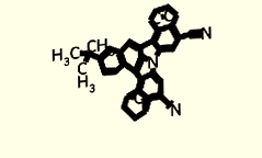 CC(C)(C)c1ccc2c(c1)cc1c3c4c(c(C#N)cc3n3c5cc(C#N)c6c(c5c2c13)C1CCC6CC1)C1CCC4CC1